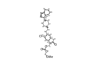 COCOC(=O)OCN1C(=O)Cc2cc(CCN3CCN(c4nsc5ccccc45)CC3)c(Cl)cc21